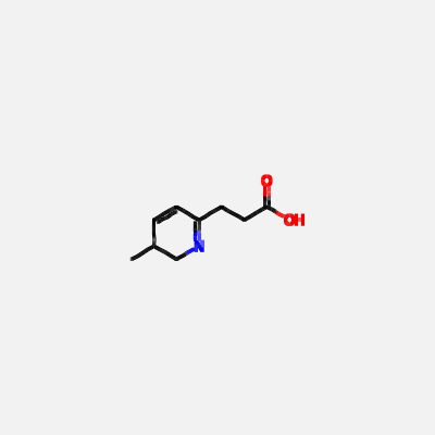 CC1C=CC(CCC(=O)O)=NC1